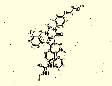 CCNC(=O)Nc1ccc(-c2sc3c(c2CN(C)Cc2ccccc2)c(=O)n(-c2ccc(OCCOC)cc2)c(=O)n3Cc2c(F)cccc2F)cc1